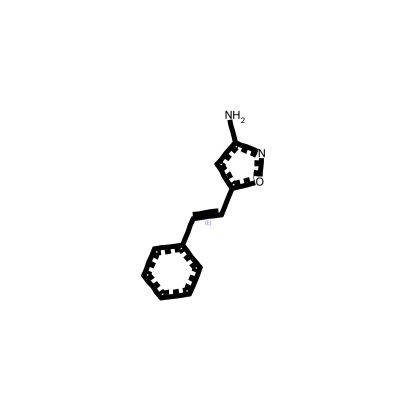 Nc1cc(/C=C/c2ccccc2)on1